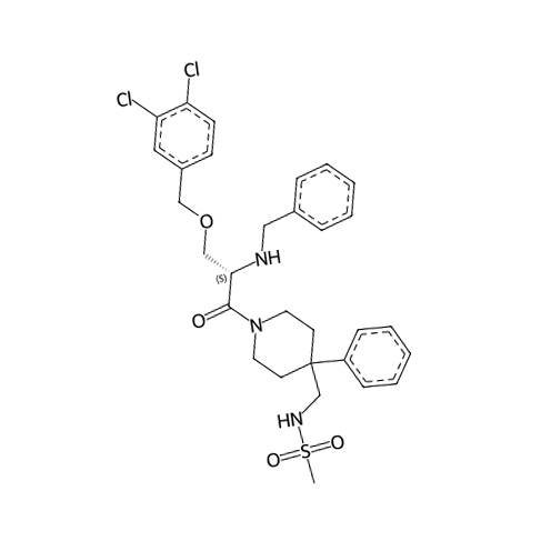 CS(=O)(=O)NCC1(c2ccccc2)CCN(C(=O)[C@H](COCc2ccc(Cl)c(Cl)c2)NCc2ccccc2)CC1